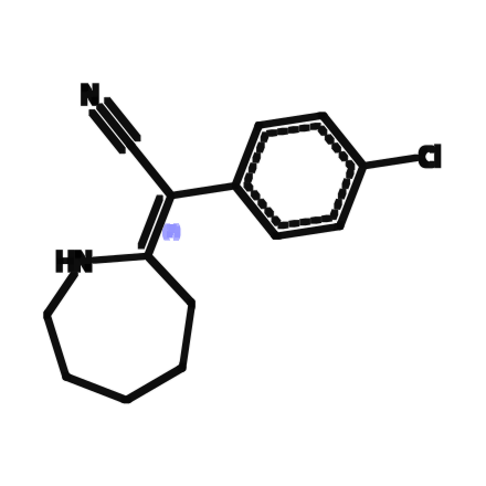 N#C/C(=C1/CCCCCN1)c1ccc(Cl)cc1